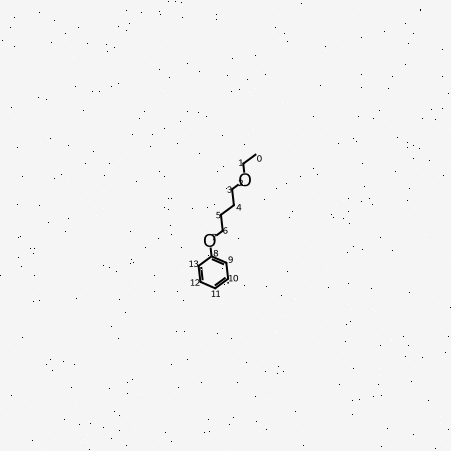 CCOCCCCOc1c[c]ccc1